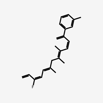 C=C/C(F)=C\C=C(/C)C/C(C)=C(C)/C=C\C(=C)c1cccc(C)c1